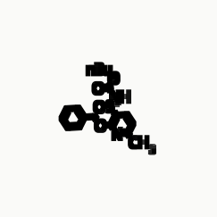 CCCCOC(=O)N[S@+]([O-])c1ccc(C)nc1OCc1ccccc1